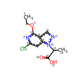 CCOc1nc(Cl)cc2c1cnn2C(C)C(=O)O